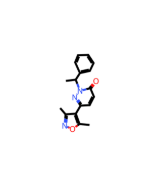 Cc1noc(C)c1-c1ccc(=O)n(C(C)c2ccccc2)n1